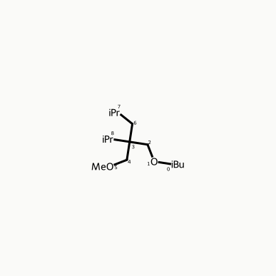 CCC(C)OCC(COC)(CC(C)C)C(C)C